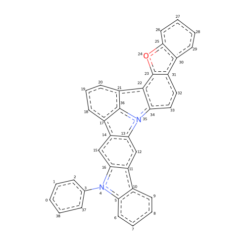 c1ccc(-n2c3ccccc3c3cc4c(cc32)c2cccc3c5c6oc7ccccc7c6ccc5n4c23)cc1